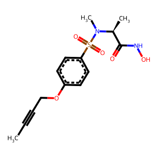 CC#CCOc1ccc(S(=O)(=O)N(C)[C@@H](C)C(=O)NO)cc1